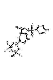 Cc1ccc(S(=O)(=O)n2cc(I)c3cc(N4CC(F)(F)OC(F)(F)C4)cnc32)cc1